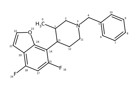 CC1CN(Cc2ccccc2)CCC1c1c(F)cc(F)c2ccoc12